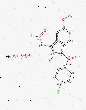 COc1ccc2c(c1)c(OC(C)=O)c(C)n2C(=O)c1ccc(Cl)cc1.O.O.O.[NaH]